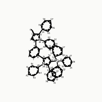 Cc1cc(-c2cccc(-c3cc([Si](c4ccccc4)(c4ccccc4)c4ccccc4)c(-c4ccccc4)n3-c3ccccc3)c2)n(-c2ccccc2)c1-c1ccccc1